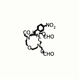 O=COCN1CCOCCN(CC(=O)O)CC(Cc2ccc([N+](=O)[O-])cc2)N(COC=O)CC1